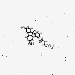 CC(C1=CC=C(O)CC=C1)(c1ccc(O)cc1)c1ccc(OC(=O)CCC(=O)O)cc1